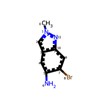 Cn1cc2cc(N)c(Br)cc2n1